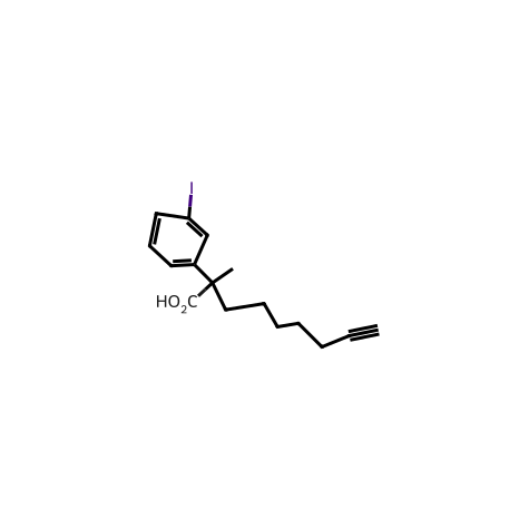 C#CCCCCCC(C)(C(=O)O)c1cccc(I)c1